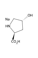 O=C(O)[C@@H]1C[C@@H](O)CN1.[Na]